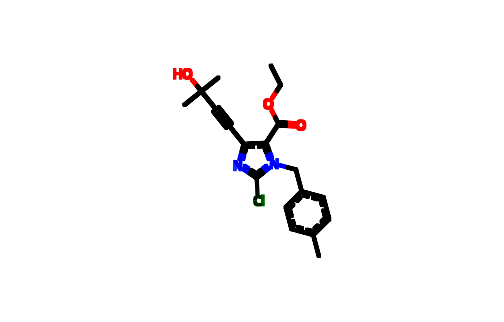 CCOC(=O)c1c(C#CC(C)(C)O)nc(Cl)n1Cc1ccc(C)cc1